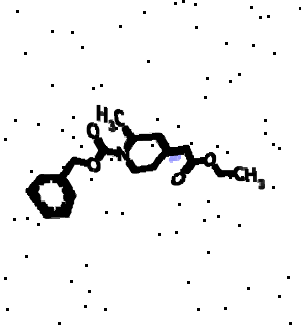 CCOC(=O)/C=C1\CCN(C(=O)OCc2ccccc2)C(C)C1